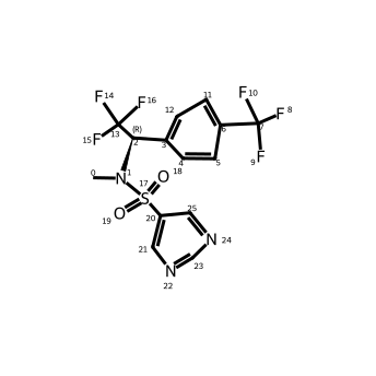 CN([C@H](c1ccc(C(F)(F)F)cc1)C(F)(F)F)S(=O)(=O)c1cncnc1